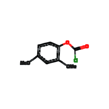 COc1ccc(OC(=O)Cl)c(OC)c1